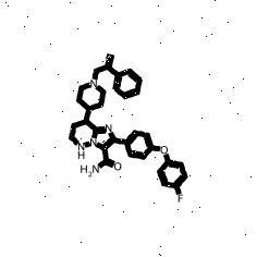 C=C(CN1CCC(C2CCNn3c2nc(-c2ccc(Oc4ccc(F)cc4)cc2)c3C(N)=O)CC1)c1ccccc1